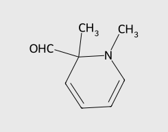 CN1C=CC=CC1(C)C=O